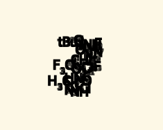 Cc1n[nH]c(Cl)c1NC(=O)c1cc(F)c(-c2cnc(F)c(NC(=O)OC(C)(C)C)n2)cc1O[C@@H](C)C(F)(F)F